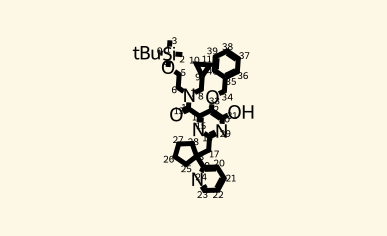 CC(C)(C)[Si](C)(C)OCCN(CC1CC1)C(=O)c1nc(CC2(c3ccccn3)CCCC2)nc(O)c1OCc1ccccc1